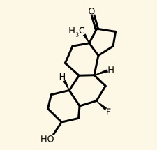 C[C@]12CCC3[C@H]4CCC(O)CC4[C@H](F)C[C@H]3C1CCC2=O